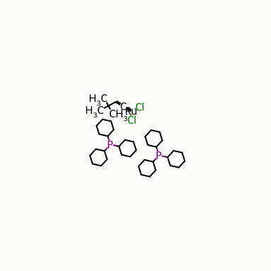 C1CCC(P(C2CCCCC2)C2CCCCC2)CC1.C1CCC(P(C2CCCCC2)C2CCCCC2)CC1.CC(C)(C)C=[C]=[Ru]([Cl])[Cl]